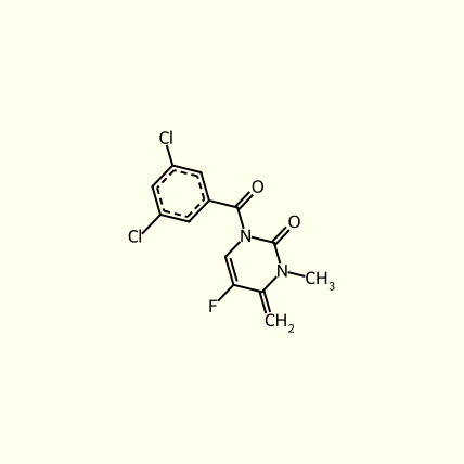 C=C1C(F)=CN(C(=O)c2cc(Cl)cc(Cl)c2)C(=O)N1C